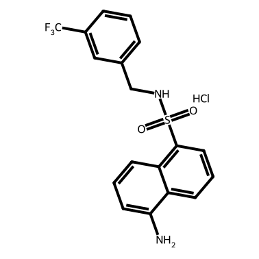 Cl.Nc1cccc2c(S(=O)(=O)NCc3cccc(C(F)(F)F)c3)cccc12